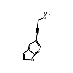 COCC#Cc1cnc2[nH]ccc2c1